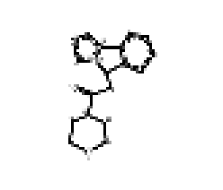 O=C(CC1c2ccccc2-c2cncn21)C1CCOCC1